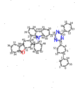 c1ccc(-c2ccc(-c3nc(-c4ccccc4)nc(-c4ccc5c6cccc(-c7ccc8oc9ccccc9c8c7)c6n(-c6ccccc6)c5c4)n3)cc2)cc1